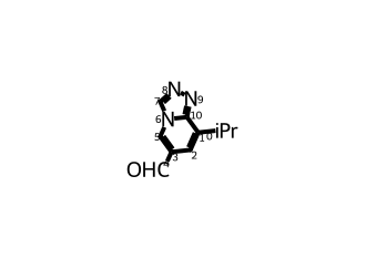 CC(C)c1cc(C=O)cn2cnnc12